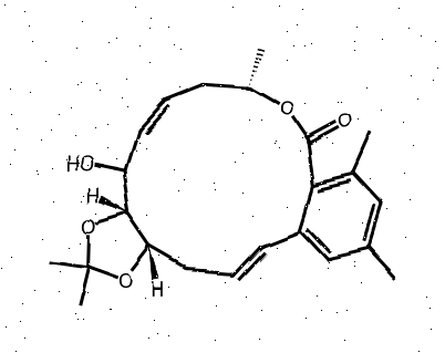 Cc1cc(C)c2c(c1)/C=C/C[C@@H]1OC(C)(C)O[C@@H]1C(O)/C=C\C[C@H](C)OC2=O